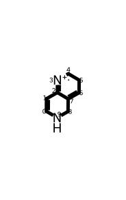 C1=CC2=[N+]CCC=C2CN1